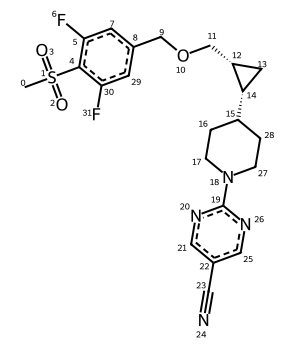 CS(=O)(=O)c1c(F)cc(COC[C@@H]2C[C@@H]2C2CCN(c3ncc(C#N)cn3)CC2)cc1F